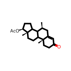 CC(=O)O[C@H]1CCC2C3C(CC[C@@]21C)[C@@]1(C)CCC(=O)C=C1C[C@@H]3C